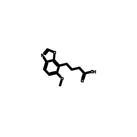 COc1ccc2ncoc2c1CCCC(=O)O